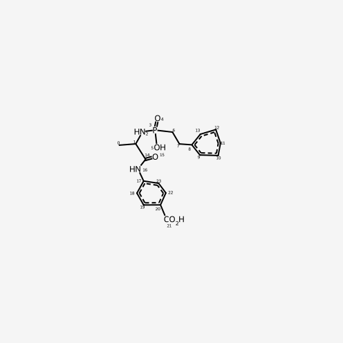 CC(NP(=O)(O)CCc1ccccc1)C(=O)Nc1ccc(C(=O)O)cc1